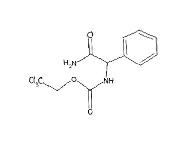 NC(=O)C(NC(=O)OCC(Cl)(Cl)Cl)c1ccccc1